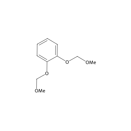 COCOc1ccccc1OCOC